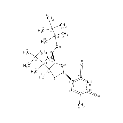 Cc1cn([C@H]2C[C@@](O)([Si](C)(C)C(C)(C)C)[C@@H](CO[Si](C)(C)C(C)(C)C)O2)c(=O)[nH]c1=O